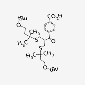 CC(C)(C)OCCC(C)(C)SCC(CSC(C)(C)CCOC(C)(C)C)C(=O)c1ccc(C(=O)O)cc1